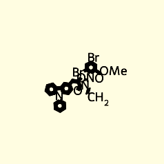 C=CCN1C(=O)/C(=C\c2ccc3c(c2)c2ccccc2n3-c2ccccc2)O/C1=N\c1c(Br)cc(Br)cc1C(=O)OC